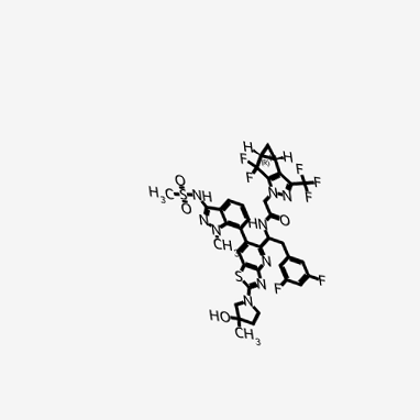 Cn1nc(NS(C)(=O)=O)c2cccc(-c3cc4sc(N5CCC(C)(O)C5)nc4nc3C(Cc3cc(F)cc(F)c3)NC(=O)Cn3nc(C(F)(F)F)c4c3C(F)(F)[C@@H]3C[C@H]43)c21